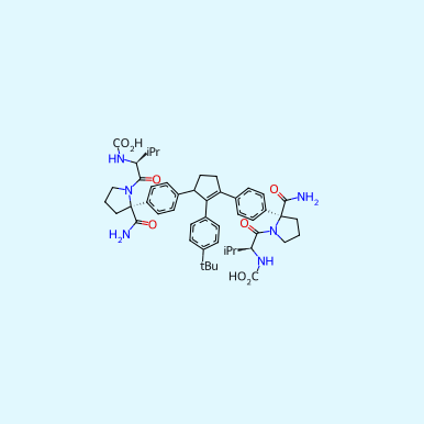 CC(C)[C@H](NC(=O)O)C(=O)N1CCC[C@@]1(C(N)=O)c1ccc(C2=C(c3ccc(C(C)(C)C)cc3)C(c3ccc([C@]4(C(N)=O)CCCN4C(=O)[C@@H](NC(=O)O)C(C)C)cc3)CC2)cc1